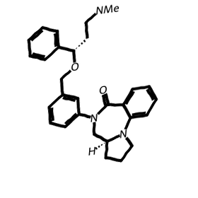 CNCC[C@H](OCc1cccc(N2C[C@@H]3CCCN3c3ccccc3C2=O)c1)c1ccccc1